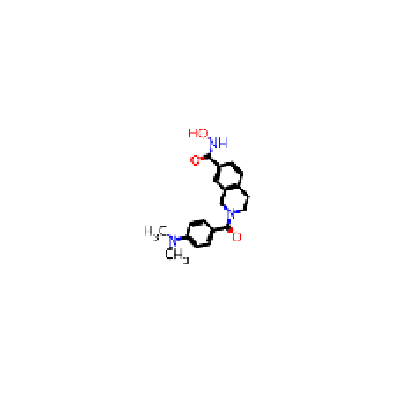 CN(C)c1ccc(C(=O)N2CCc3ccc(C(=O)NO)cc3C2)cc1